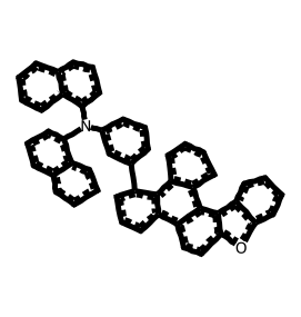 c1cc(-c2cccc3c4ccc5oc6ccccc6c5c4c4ccccc4c23)cc(N(c2cccc3ccccc23)c2cccc3ccccc23)c1